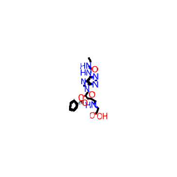 CCNC(=O)Nc1ncnc2c1ncn2C1OC(CNCC(=O)O)C2O[C@H](c3ccccc3)OC21